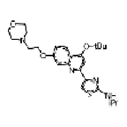 CC(C)Nc1nc(-c2cc(OC(C)(C)C)c3ccc(OCCN4CCOCC4)cc3n2)cs1